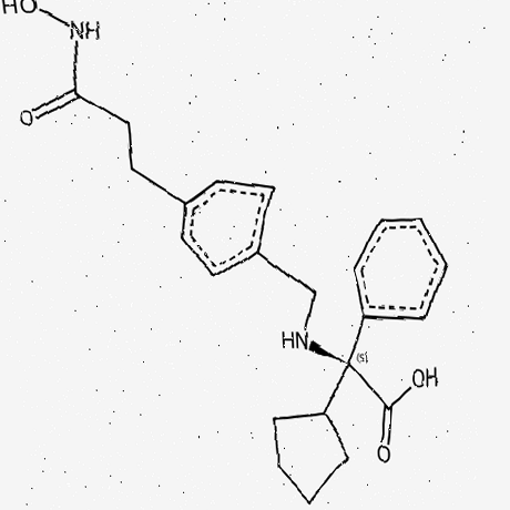 O=C(CCc1ccc(CN[C@](C(=O)O)(c2ccccc2)C2CCCC2)cc1)NO